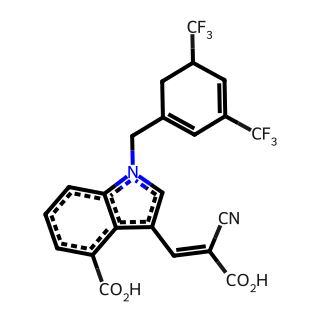 N#C/C(=C\c1cn(CC2=CC(C(F)(F)F)=CC(C(F)(F)F)C2)c2cccc(C(=O)O)c12)C(=O)O